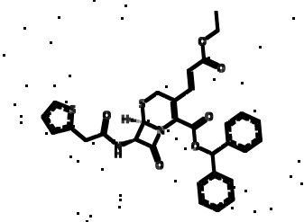 CCOC(=O)/C=C/C1=C(C(=O)OC(c2ccccc2)c2ccccc2)N2C(=O)[C@@H](NC(=O)Cc3cccs3)[C@H]2SC1